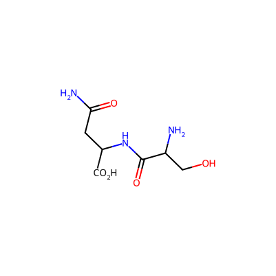 NC(=O)CC(NC(=O)C(N)CO)C(=O)O